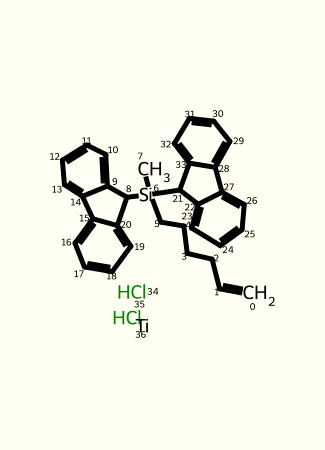 C=CCCCC[Si](C)(C1c2ccccc2-c2ccccc21)C1c2ccccc2-c2ccccc21.Cl.Cl.[Ti]